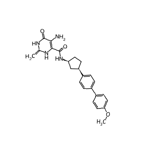 C=C1NC(=O)C(N)=C(C(=O)N[C@H]2CC[C@@H](c3ccc(-c4ccc(OC)cc4)cc3)C2)N1